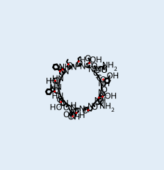 CCCC[C@H]1C(=O)N(C)[C@@H](CCCC)C(=O)N[C@@H](CCC(=O)O)C(=O)N[C@H](C(=O)NCC(N)=O)CSCC(=O)N[C@@H](Cc2ccc(O)cc2)C(=O)N2C[C@H](O)C[C@H]2C(=O)N[C@@H](CC(N)=O)C(=O)N2CCC[C@H]2C(=O)N[C@@H](Cc2cnc[nH]2)C(=O)N[C@@H](CCC(=O)O)C(=O)N2C[C@H](O)C[C@H]2C(=O)N[C@@H](Cc2c[nH]c3ccccc23)C(=O)N[C@@H](CO)C(=O)N[C@@H](Cc2c[nH]c3ccccc23)C(=O)N1C